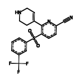 N#Cc1ccc(S(=O)(=O)c2cccc(C(F)(F)F)c2)c(C2=CCNCC2)n1